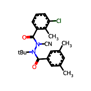 Cc1cc(C)cc(C(=O)N(N(C#N)C(=O)c2cccc(Cl)c2C)C(C)(C)C)c1